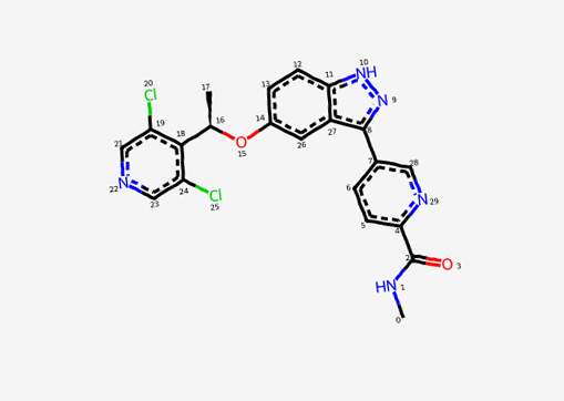 CNC(=O)c1ccc(-c2n[nH]c3ccc(O[C@H](C)c4c(Cl)cncc4Cl)cc23)cn1